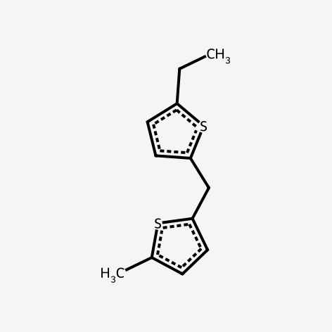 CCc1ccc(Cc2ccc(C)s2)s1